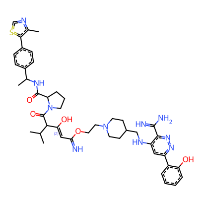 Cc1ncsc1-c1ccc(C(C)NC(=O)C2CCCN2C(=O)C(/C(O)=C/C(=N)OCCN2CCC(CNc3cc(-c4ccccc4O)nnc3C(=N)N)CC2)C(C)C)cc1